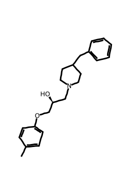 Cc1ccc(OC[C@@H](O)CN2CCC(Cc3ccccc3)CC2)cc1